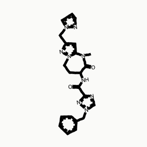 CN1C(=O)C(NC(=O)c2ncn(Cc3ccccc3)n2)CCn2nc(Cn3cccn3)cc21